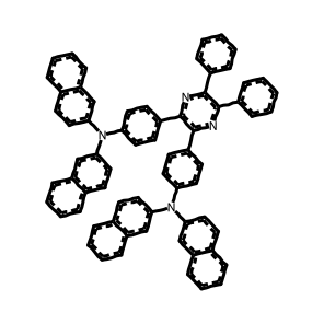 c1ccc(-c2nc(-c3ccc(N(c4ccc5ccccc5c4)c4ccc5ccccc5c4)cc3)c(-c3ccc(N(c4ccc5ccccc5c4)c4ccc5ccccc5c4)cc3)nc2-c2ccccc2)cc1